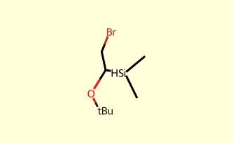 C[SiH](C)C(CBr)OC(C)(C)C